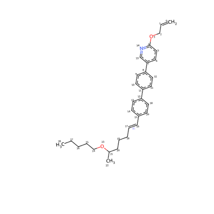 C=CCOc1ccc(-c2ccc(-c3ccc(/C=C/CCCC(C)OCCCCC)cc3)cc2)cn1